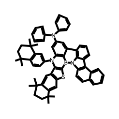 CC1(C)CCC(C)(C)c2cc(N3c4cc(N(c5ccccc5)c5ccccc5)cc5c4B(c4sc6cc7c(cc6c43)C(C)(C)CCC7(C)C)n3c4ccc6ccccc6c4c4cccc-5c43)ccc21